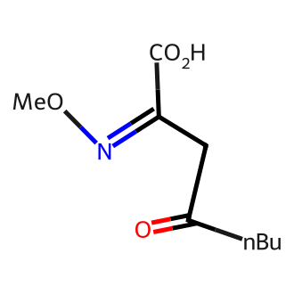 CCCCC(=O)C/C(=N/OC)C(=O)O